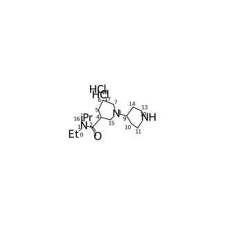 CCN(C(=O)C1CCCN(C2CCNCC2)C1)C(C)C.Cl.Cl